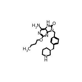 CCCCOc1nc(N)c2[nH]c(=O)n(Cc3ccc(C[C@@H]4CCCNC4)cc3)c2n1